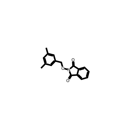 Cc1cc(C)cc(CON2C(=O)c3ccccc3C2=O)c1